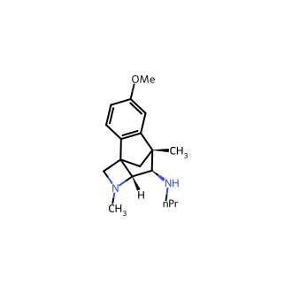 CCCN[C@H]1[C@@H]2N(C)CC23C[C@]1(C)c1cc(OC)ccc13